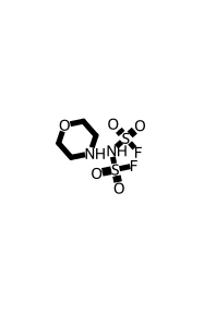 C1COCCN1.O=S(=O)(F)NS(=O)(=O)F